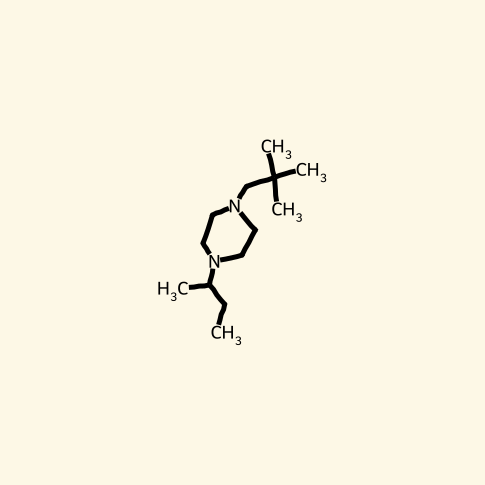 CCC(C)N1CCN(CC(C)(C)C)CC1